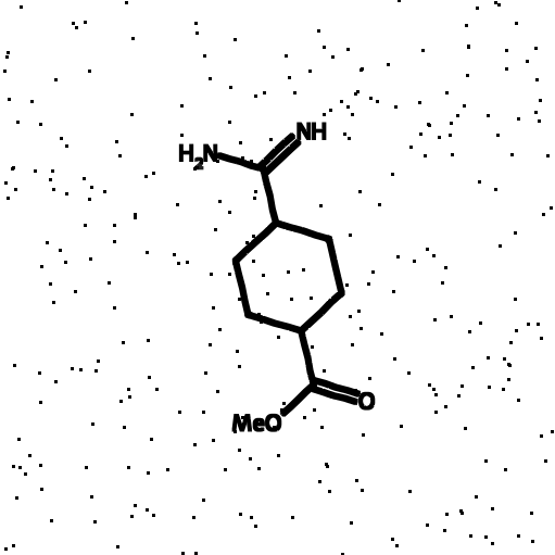 COC(=O)C1CCC(C(=N)N)CC1